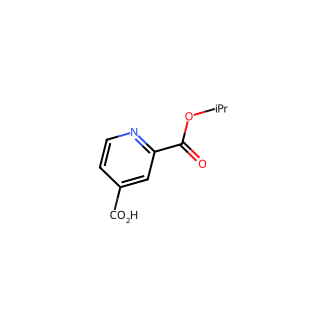 CC(C)OC(=O)c1cc(C(=O)O)ccn1